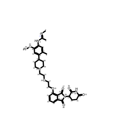 C/N=C(\C)Nc1cc(C)c(C2CCN(CCOCCOc3cccc4c3C(=O)N(C3CCC(=O)NC3=O)C4=O)CC2)cc1OC(C)C